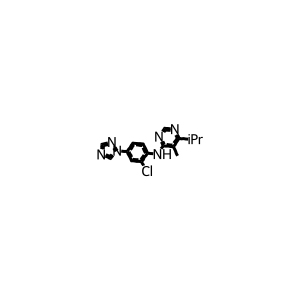 Cc1c(Nc2ccc(-n3cncn3)cc2Cl)ncnc1C(C)C